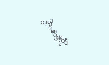 O=C(N[C@H]1CC[C@H](CNCCOc2ccc(Cl)c([N+](=O)[O-])c2)CC1)c1cn(C2CC2)c2cc(Cl)c(F)cc2c1=O